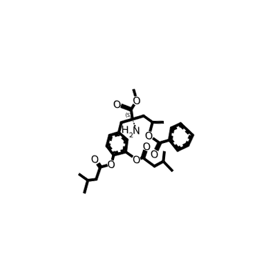 COC(=O)[C@](N)(Cc1ccc(OC(=O)CC(C)C)c(OC(=O)CC(C)C)c1)CC(C)OC(=O)c1ccccc1